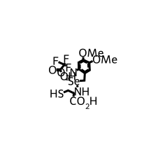 COc1cc(C[Se]NC(CS)C(=O)O)c([N+](=O)[O-])cc1OC.O=C(O)C(F)(F)F